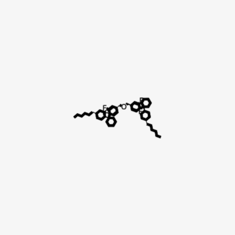 CCCCCC[C@H]1CC[C@H](C2([C@@]3(F)C=C[C@@H](COC[C@@H]4C=C[C@](F)(C5([C@H]6CC[C@H](CCCCCC)CC6)CCCCC5)C(F)=C4)C=C3F)CCCCC2)CC1